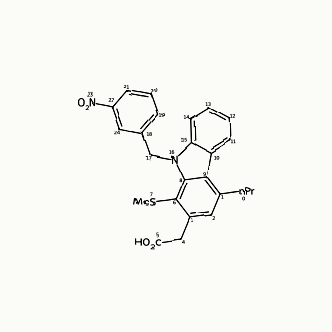 CCCc1cc(CC(=O)O)c(SC)c2c1c1ccccc1n2Cc1cccc([N+](=O)[O-])c1